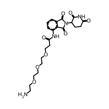 NCCOCCOCCOCCC(=O)Nc1cccc2c1C(=O)N(C1CCC(=O)NC1=O)C2=O